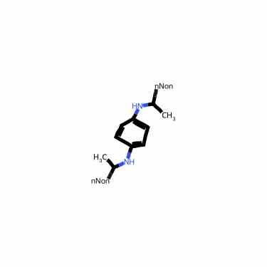 CCCCCCCCCC(C)Nc1ccc(NC(C)CCCCCCCCC)cc1